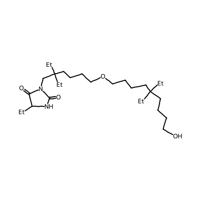 CCC1NC(=O)N(CC(CC)(CC)CCCCOCCCCC(CC)(CC)CCCCO)C1=O